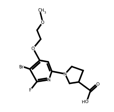 COCCOc1cc(N2CCC(C(=O)O)C2)nc(F)c1Br